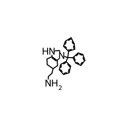 NCCC1CCC2=C(C1)N(C(c1ccccc1)(c1ccccc1)c1ccccc1)CN2